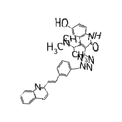 CC(c1c(-c2nnn(Cc3cccc(C=Cc4ccc5ccccc5n4)c3)n2)c(=O)[nH]c2ccc(O)cc12)N(C)C